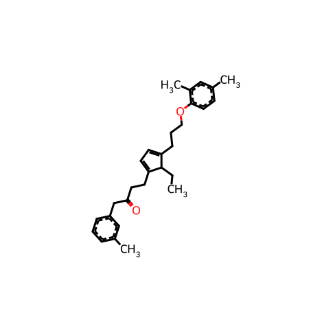 CCC1C(CCCOc2ccc(C)cc2C)=CC=C1CCC(=O)Cc1cccc(C)c1